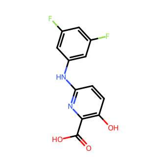 O=C(O)c1nc(Nc2cc(F)cc(F)c2)ccc1O